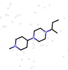 CCC(C)N1CCN(C2CCN(C)CC2)CC1